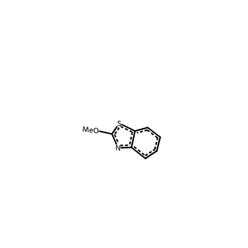 [CH2]Oc1nc2ccccc2s1